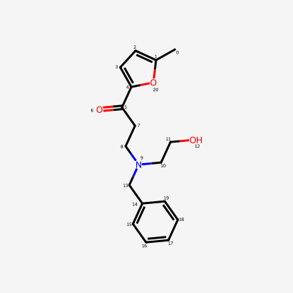 Cc1ccc(C(=O)CCN(CCO)Cc2ccccc2)o1